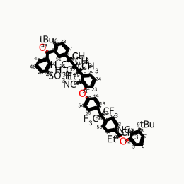 CCC(C)(Oc1cccc(C(C)(C)C)c1C#N)c1ccc(C(c2ccc(Oc3cccc(C(C)(CC)C(C)(C)C(C)(C)c4ccc(C(C)(C)C)c(C(=O)c5cccc(S(=O)(=O)O)c5)c4)c3C#N)cc2)(C(F)(F)F)C(F)(F)F)cc1